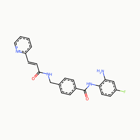 Nc1cc(F)ccc1NC(=O)c1ccc(CNC(=O)C=Cc2ccccn2)cc1